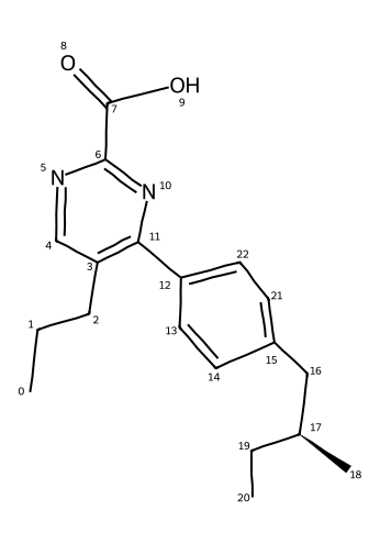 CCCc1cnc(C(=O)O)nc1-c1ccc(C[C@@H](C)CC)cc1